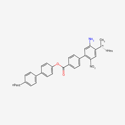 CCCCCC[C@@H](C)c1cc([N+](=O)[O-])c(-c2ccc(C(=O)Oc3ccc(-c4ccc(CCCCC)cc4)cc3)cc2)cc1N